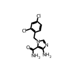 NC(=O)c1c(N)ncn1Cc1ccc(Cl)cc1Cl